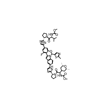 COC(=O)NC(C(=O)N1CCC[C@H]1c1ncc(-c2ccc3c(c2)cc2n3C(c3cnc(C)s3)Oc3cc(-c4cnc([C@@H]5CCCN5C(=O)[C@@H](NC(=O)OC)C(C)C)[nH]4)cc(F)c3-2)[nH]1)C1C[C@@H](C)O[C@@H](C)C1